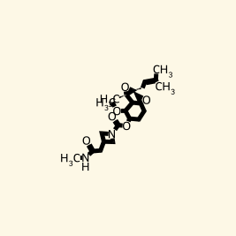 CNC(=O)CC1CN(C(=O)OC2CCC3(CO3)C([C@@]3(C)O[C@@H]3CC=C(C)C)C2OC)C1